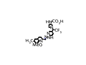 COc1cc2nc(/C=N/Nc3ccc([C@@H](N4CC[C@H](NC(=O)O)C4)C(F)(F)F)cn3)ccc2cc1C